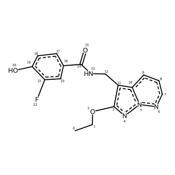 CCOc1nn2ncccc2c1CNC(=O)c1ccc(O)c(F)c1